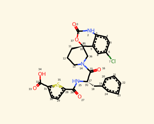 O=C1Nc2ccc(Cl)cc2[C@@]2(CCCN(C(=O)[C@H](Cc3ccccc3)NC(=O)c3ccc(C(=O)O)s3)C2)O1